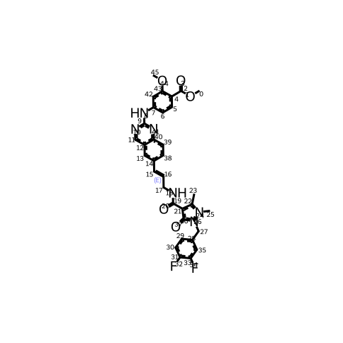 COC(=O)c1ccc(Nc2ncc3cc(/C=C/CNC(=O)c4c(C)n(C)n(Cc5ccc(F)c(F)c5)c4=O)ccc3n2)cc1OC